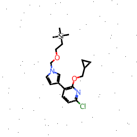 C[Si](C)(C)CCOCn1ccc(-c2ccc(Cl)nc2OCC2CC2)c1